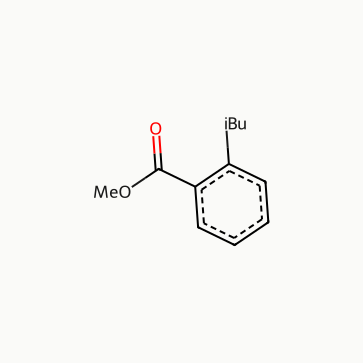 CCC(C)c1ccccc1C(=O)OC